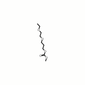 CCOCCOCCCOC(=O)OC